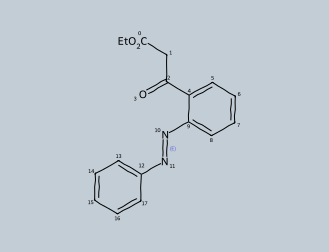 CCOC(=O)CC(=O)c1ccccc1/N=N/c1ccccc1